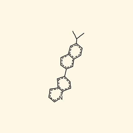 CC(C)c1ccc2cc(-c3ccc4ncccc4c3)ccc2c1